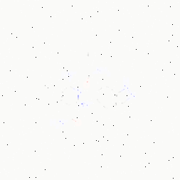 CC(C)CC(Nc1nc(Nc2ccc3[nH]ncc3c2)c(C(N)=O)cc1C#N)C(N)=O